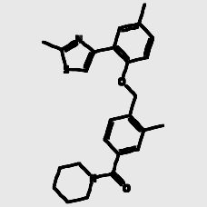 Cc1ccc(OCc2ccc(C(=O)N3CCCCC3)cc2C)c(-c2csc(C)n2)c1